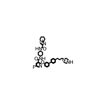 O=C(NC1CCC(NC(=O)c2cc(F)cnc2Oc2cccc(-c3ccc(CCCN4CCNCC4)cc3)c2)CC1)c1cn2c(n1)CCCC2